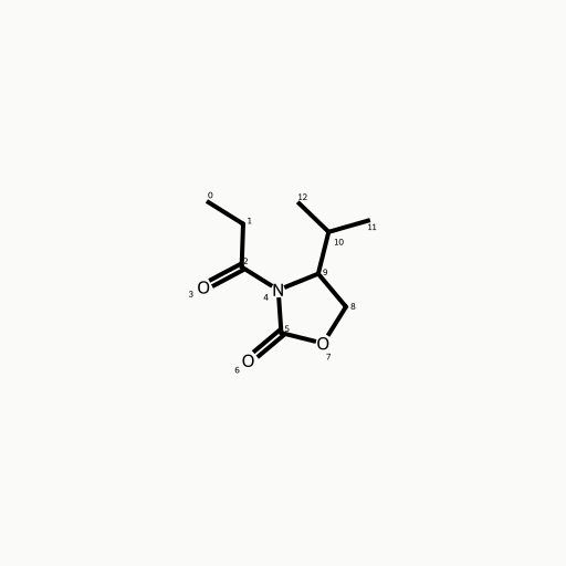 CCC(=O)N1C(=O)OCC1C(C)C